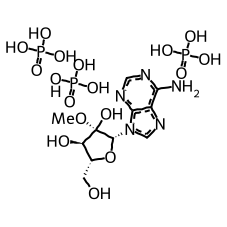 CO[C@@]1(O)[C@H](O)[C@@H](CO)O[C@H]1n1cnc2c(N)ncnc21.O=P(O)(O)O.O=P(O)(O)O.O=P(O)(O)O